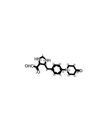 O=CC(=O)C1NCNC1Cc1ccc(N2CCC(=O)CC2)cc1